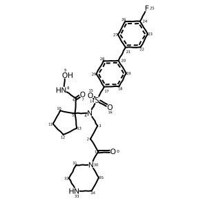 O=C(CCN(C1(C(=O)NO)CCCC1)S(=O)(=O)c1ccc(-c2ccc(F)cc2)cc1)N1CCNCC1